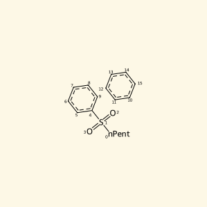 CCCCCS(=O)(=O)c1ccccc1.c1ccccc1